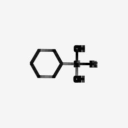 CC[Si](O)(O)C1CCCCC1